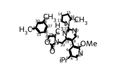 COc1ncc(C(C)C)cc1-c1cnc(N2CCC[C@@H]2C)nc1CN1C(=O)O[C@H](c2cc(C)cc(C)c2)[C@@H]1C